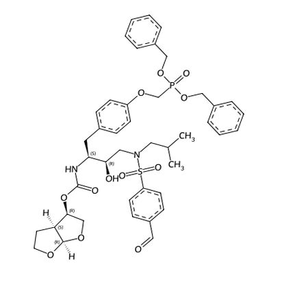 CC(C)CN(C[C@@H](O)[C@H](Cc1ccc(OCP(=O)(OCc2ccccc2)OCc2ccccc2)cc1)NC(=O)O[C@H]1CO[C@H]2OCC[C@H]21)S(=O)(=O)c1ccc(C=O)cc1